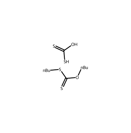 CCCCOC(=S)SCCCC.OC(=S)S